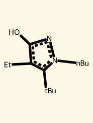 CCCCn1nc(O)c(CC)c1C(C)(C)C